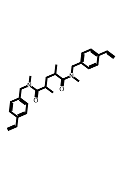 C=Cc1ccc(CN(C)C(=O)C(C)CC(C)C(=O)N(C)Cc2ccc(C=C)cc2)cc1